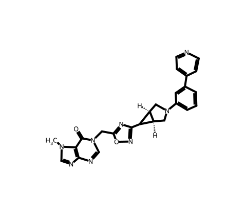 Cn1cnc2ncn(Cc3nc(C4[C@H]5CN(c6cccc(-c7ccncc7)c6)C[C@@H]45)no3)c(=O)c21